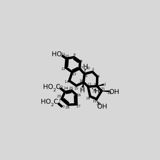 CC(=O)O.C[C@]12CC[C@@H]3c4ccc(O)cc4CC[C@H]3[C@@H]1C[C@@H](O)[C@@H]2O.O=C(O)c1ccccc1